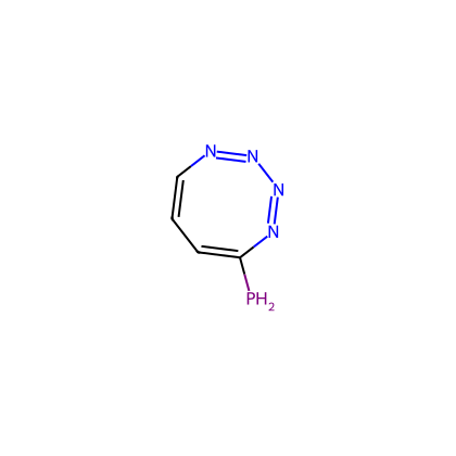 PC1=CC=CN=NN=N1